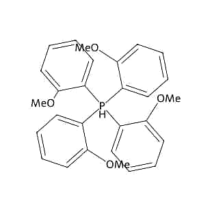 COc1ccccc1[PH](c1ccccc1OC)(c1ccccc1OC)c1ccccc1OC